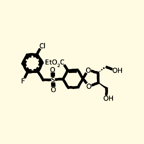 CCOC(=O)C1=CC2(CCC1S(=O)(=O)Cc1cc(Cl)ccc1F)O[C@H](CO)[C@@H](CO)O2